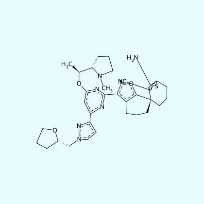 C[C@H](Oc1cc(-c2ccn(C[C@@H]3CCCO3)n2)nc(-c2noc3c2CCC[C@@]32CCCc3sc(N)c(C#N)c32)n1)[C@@H]1CCCN1C